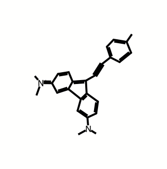 Cc1ccc(C#CC2=C3C=CC(=[N+](C)C)C=C3c3cc(N(C)C)ccc32)cc1